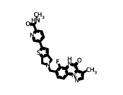 CNC(=O)c1ccc(-c2cc3c(s2)CN(Cc2ccc4c([nH]c(=O)c5c(C)cnn54)c2F)C3)cn1